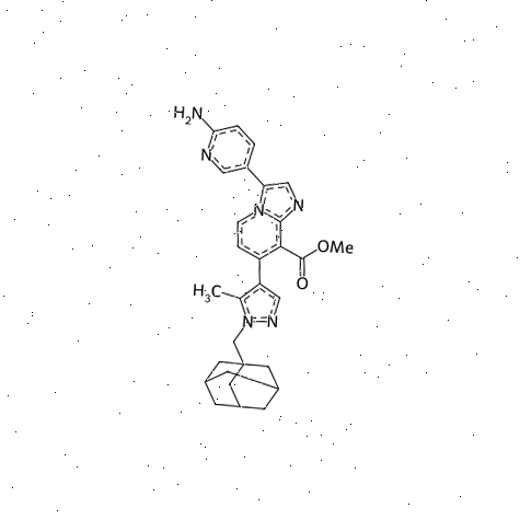 COC(=O)c1c(-c2cnn(CC34CC5CC(CC(C5)C3)C4)c2C)ccn2c(-c3ccc(N)nc3)cnc12